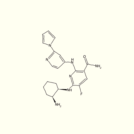 NC(=O)c1cc(F)c(N[C@@H]2CCCC[C@@H]2N)nc1Nc1ccnc(-n2cccc2)c1